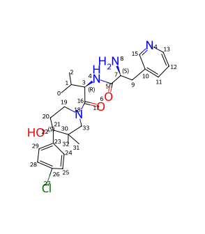 CC(C)[C@@H](NC(=O)[C@@H](N)Cc1cccnc1)C(=O)N1CC[C@](O)(c2ccc(Cl)cc2)C(C)(C)C1